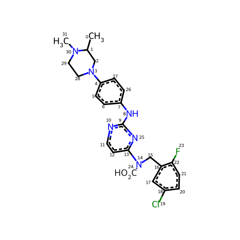 CC1CN(c2ccc(Nc3nccc(N(Cc4cc(Cl)ccc4F)C(=O)O)n3)cc2)CCN1C